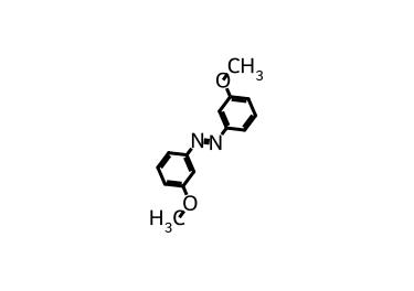 COc1cccc(N=Nc2cccc(OC)c2)c1